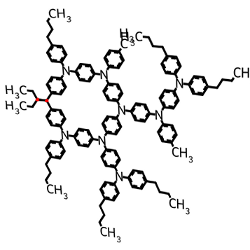 CCCCc1ccc(N(c2ccc(CCCC)cc2)c2ccc(N(c3ccc(C)cc3)c3ccc(N(c4ccc(N(c5ccc(C)cc5)c5ccc(N(c6ccc(CCCC)cc6)c6ccc(CCCC)cc6)cc5)cc4)c4ccc(N(c5ccc(N(c6ccc(CCCC)cc6)c6ccc(CCCC)cc6)cc5)c5ccc(N(c6ccc(CCCC)cc6)c6ccc(CCCC)cc6)cc5)cc4)cc3)cc2)cc1